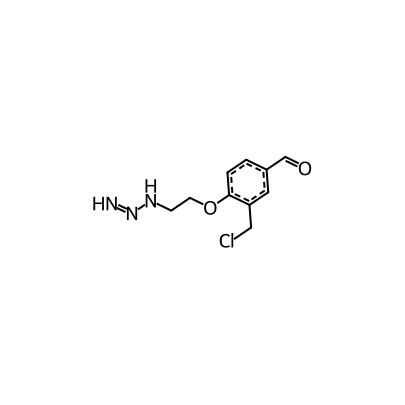 N=NNCCOc1ccc(C=O)cc1CCl